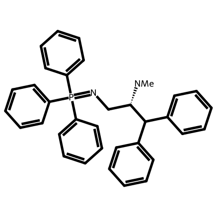 CN[C@@H](CN=P(c1ccccc1)(c1ccccc1)c1ccccc1)C(c1ccccc1)c1ccccc1